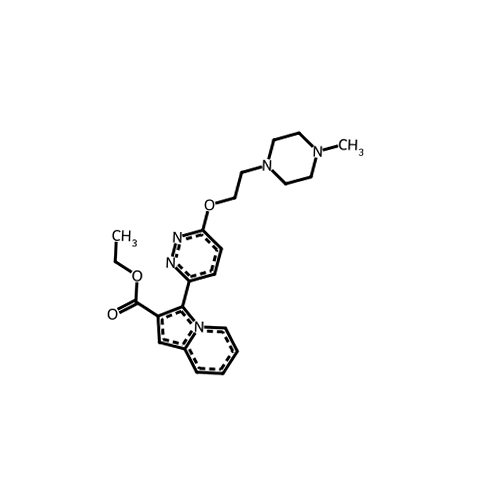 CCOC(=O)c1cc2ccccn2c1-c1ccc(OCCN2CCN(C)CC2)nn1